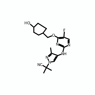 Cc1nn(C(C)(C)C#N)cc1Nc1ncc(F)c(OCC2CCC(O)CC2)n1